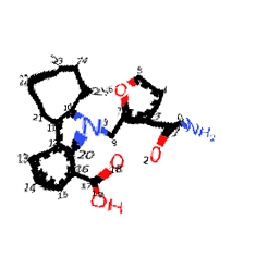 NC(=O)c1ccoc1Cn1c2c(c3cccc(C(=O)O)c31)CCCCC2